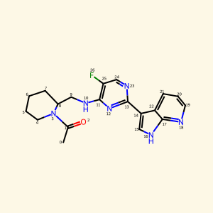 CC(=O)N1CCCCC1CNc1nc(-c2c[nH]c3ncccc23)ncc1F